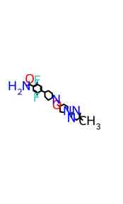 Cc1cnc(N2CCC(ON=C3CCC(c4cc(F)c(C(N)=O)cc4F)CC3)CC2)nc1